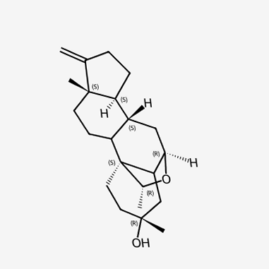 C=C1CC[C@H]2[C@@H]3C[C@H]4O[C@H](C)[C@@]5(CC[C@@](C)(O)CC45)C3CC[C@]12C